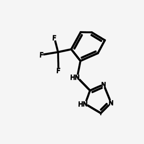 FC(F)(F)c1ccccc1Nc1nn[c][nH]1